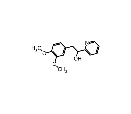 COc1ccc(CC(O)c2ccccn2)cc1OC